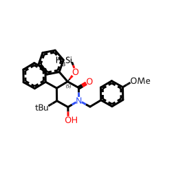 COc1ccc(CN2C(=O)[C@@](O[SiH3])(c3ccccc3)C(c3ccccc3)C(C(C)(C)C)C2O)cc1